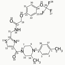 Cc1ccc(N2CCN(C(=O)c3csc(CNC(=O)COc4ccc(OC(F)(F)F)cc4)n3)CC2C)cc1